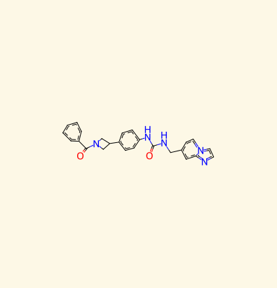 O=C(NCc1ccn2ccnc2c1)Nc1ccc(C2CN(C(=O)c3ccccc3)C2)cc1